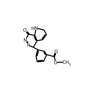 COC(=O)c1cccc(C2N=NC(=O)C3=C2C=CCN3)c1